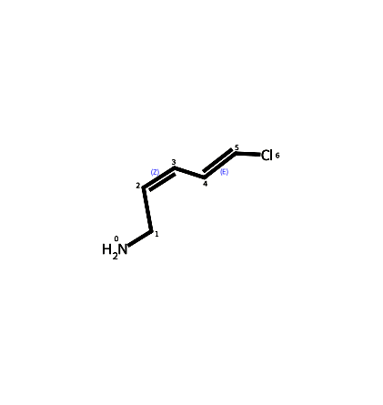 NC/C=C\C=C\Cl